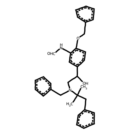 CC(C)(Cc1ccccc1)N(Cc1ccccc1)CC(O)c1ccc(OCc2ccccc2)c(NC=O)c1